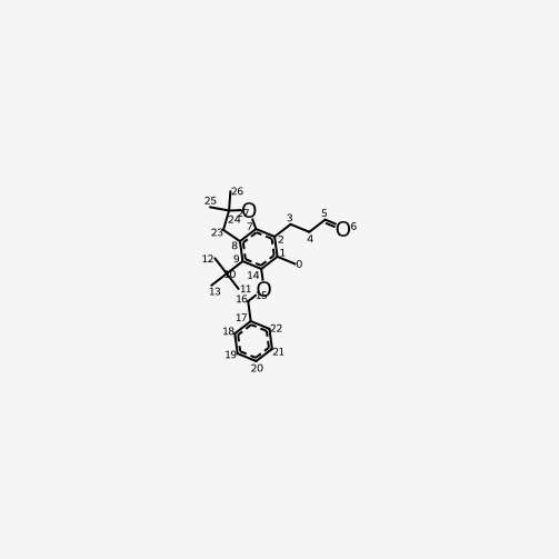 Cc1c(CCC=O)c2c(c(C(C)(C)C)c1OCc1ccccc1)CC(C)(C)O2